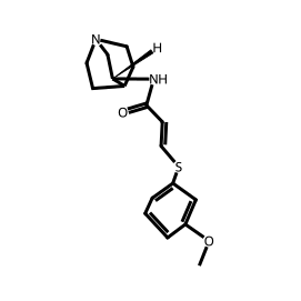 COc1cccc(SC=CC(=O)N[C@H]2CN3CCC2CC3)c1